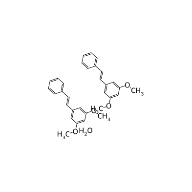 COc1cc(C=Cc2ccccc2)cc(OC)c1.COc1cc(C=Cc2ccccc2)cc(OC)c1.O